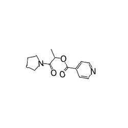 CC(OC(=O)c1ccncc1)C(=O)N1CCCC1